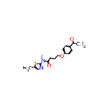 CC(=O)c1ccc(OCCCC(=O)Nc2ncc(C)s2)cc1